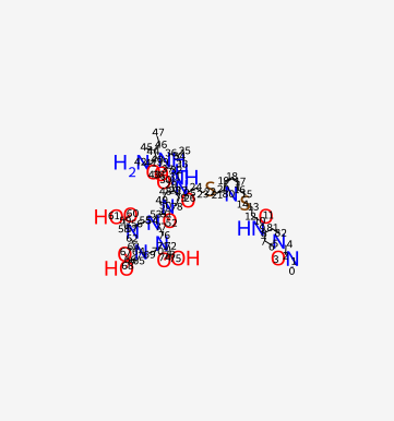 C=NC(=O)CN1CCC(NC(=O)CCSCc2cccc(CSCCC(=O)NC3(C(=O)N[C@@H](CC(C)C)C(=O)N[C@H](C(N)=O)[C@@H](C)CC)CCN(C(=O)CN4CCN(CC(=O)O)CCN(CC(=O)O)CCN(CC(=O)O)CC4)CC3)n2)CC1